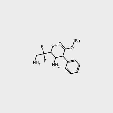 CC(C)(C)OC(=O)C(c1ccccc1)C(N)C(O)C(F)(F)CN